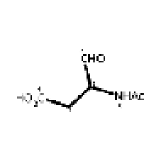 CC(=O)NC(C=O)CC(=O)O